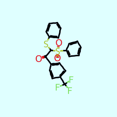 O=C(c1ccc(C(F)(F)F)cc1)C(Sc1ccccc1)S(=O)(=O)c1ccccc1